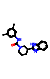 Cc1cc(C)cc(NC(=O)N2CCCC(c3nc4ccccc4[nH]3)C2)c1